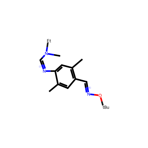 CCN(C)/C=N\c1cc(C)c(/C=N/OC(C)(C)C)cc1C